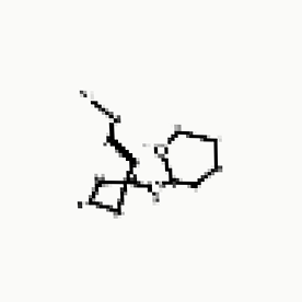 ICC=CC1(OC2CCCCO2)CCC1